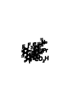 Cc1cc(-c2c(C)cc(F)cc2C)cc(C(CC(=O)O)NC(=O)C(CC(C)C)n2cc(CCN(C)C)c(C(F)(F)F)cc2=O)c1F